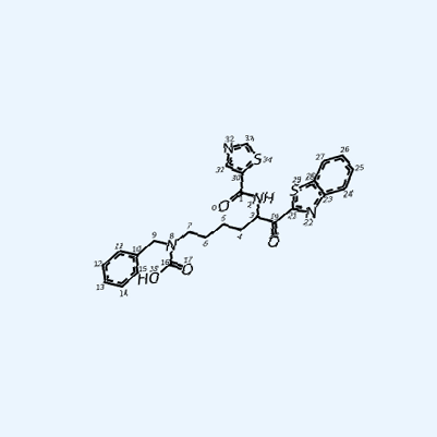 O=C(NC(CCCCN(Cc1ccccc1)C(=O)O)C(=O)c1nc2ccccc2s1)c1cncs1